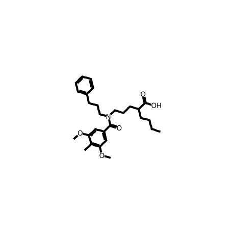 CCCCC(CCCN(CCCc1ccccc1)C(=O)c1cc(OC)c(C)c(OC)c1)C(=O)O